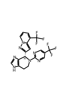 FC(F)(F)c1cnc(N2CCc3[nH]cnc3[C@@H]2c2cc3c(C(F)(F)F)cccn3n2)nc1